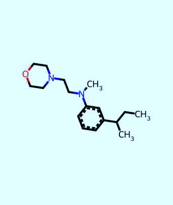 CCC(C)c1cccc(N(C)CCN2CCOCC2)c1